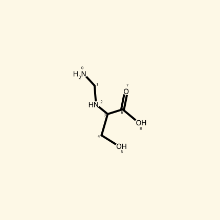 NCNC(CO)C(=O)O